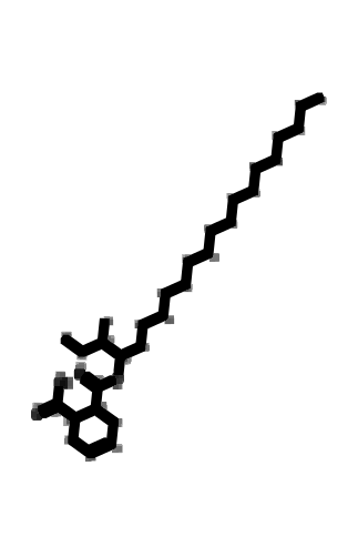 CCCCCCCCCCCCCCCCCC(OC(=O)C1CC=CCC1C(=O)O)C(C)CC